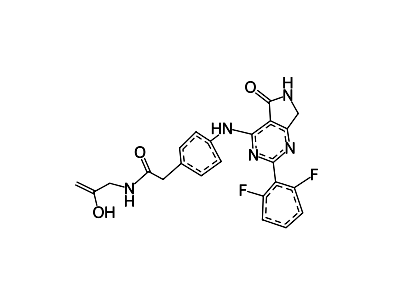 C=C(O)CNC(=O)Cc1ccc(Nc2nc(-c3c(F)cccc3F)nc3c2C(=O)NC3)cc1